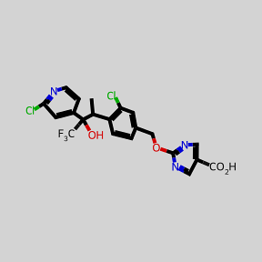 CC(c1ccc(COc2ncc(C(=O)O)cn2)cc1Cl)C(O)(c1ccnc(Cl)c1)C(F)(F)F